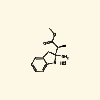 COC(=O)[C@@H](C)C1(N)Cc2ccccc2S1.Cl